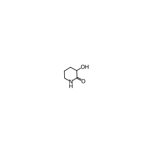 O=C1NCCCC1O